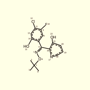 CC(C)(C)O/N=C(/c1cc(F)c(Cl)cc1O)c1ncccc1O